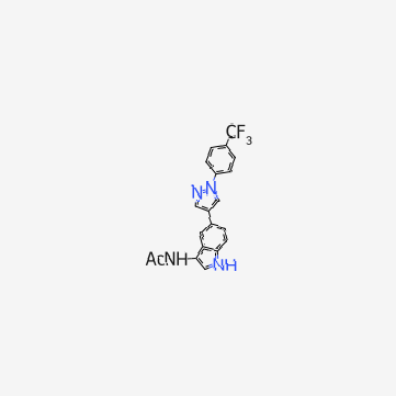 CC(=O)Nc1c[nH]c2ccc(-c3cnn(-c4ccc(C(F)(F)F)cc4)c3)cc12